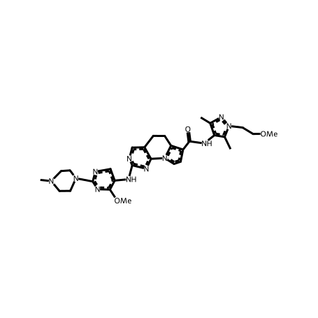 COCCn1nc(C)c(NC(=O)c2ccn3c2CCc2cnc(Nc4cnc(N5CCN(C)CC5)nc4OC)nc2-3)c1C